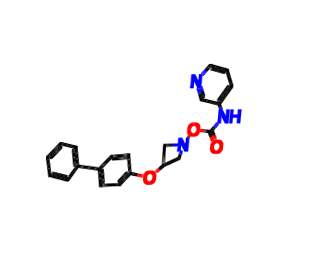 O=C(Nc1cccnc1)ON1CC(Oc2ccc(-c3ccccc3)cc2)C1